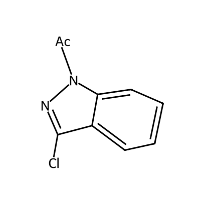 CC(=O)n1nc(Cl)c2ccccc21